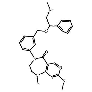 CNCC(OCc1cccc(N2CCN(C)c3nc(SC)ncc3C2=O)c1)c1ccccc1